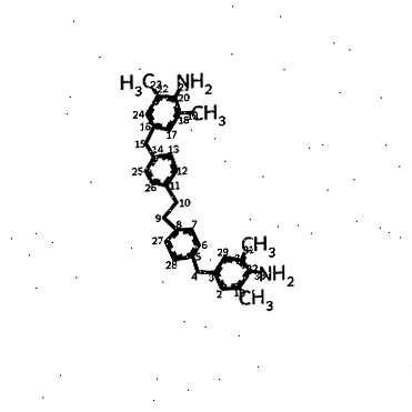 Cc1cc(Cc2ccc(CCc3ccc(Cc4cc(C)c(N)c(C)c4)cc3)cc2)cc(C)c1N